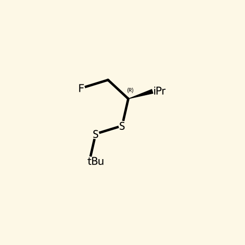 CC(C)[C@H](CF)SSC(C)(C)C